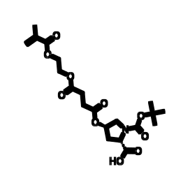 C=C(C)C(=O)OCCOC(=O)CCC(=O)O[C@@H]1C[C@@H](C(=O)O)N(C(=O)OC(C)(C)C)C1